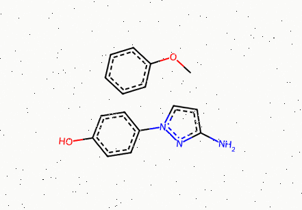 COc1ccccc1.Nc1ccn(-c2ccc(O)cc2)n1